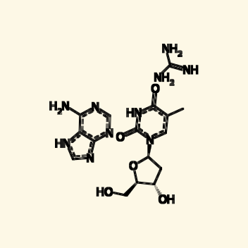 Cc1cn([C@H]2C[C@H](O)[C@@H](CO)O2)c(=O)[nH]c1=O.N=C(N)N.Nc1ncnc2nc[nH]c12